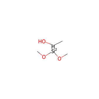 CCO.CO[SiH2]OC